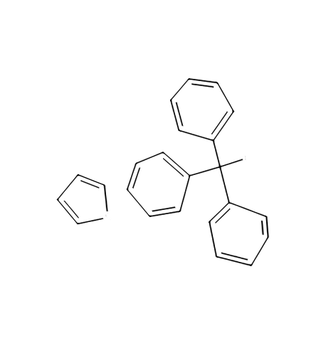 ClC(c1ccccc1)(c1ccccc1)c1ccccc1.c1ccsc1